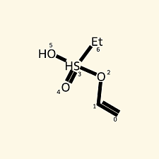 C=CO[SH](=O)(O)CC